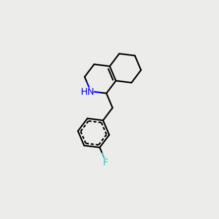 Fc1cccc(CC2NCCC3=C2CCCC3)c1